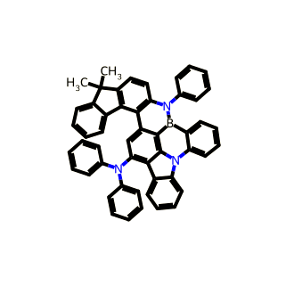 CC1(C)c2ccccc2-c2c1ccc1c2-c2cc(N(c3ccccc3)c3ccccc3)c3c4ccccc4n4c3c2B(c2ccccc2-4)N1c1ccccc1